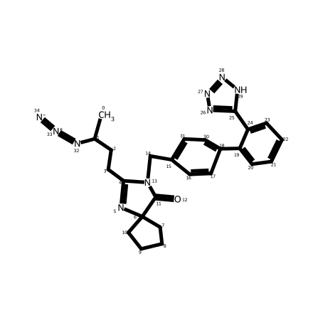 CC(CCC1=NC2(CCCC2)C(=O)N1Cc1ccc(-c2ccccc2-c2nnn[nH]2)cc1)N=[N+]=[N-]